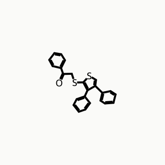 O=C(CSc1scc(-c2ccccc2)c1-c1ccccc1)c1ccccc1